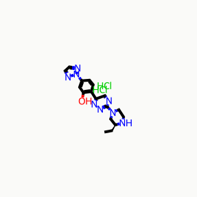 CC[C@H]1CN(c2ncc(-c3ccc(-n4nccn4)cc3O)nn2)CCN1.Cl.Cl